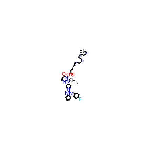 CC/C=C\C/C=C\C/C=C\C/C=C\CCCCC(=O)OCn1c(N(C)C2CCN(c3nc4ccccc4n3Cc3ccc(F)cc3)CC2)nccc1=O